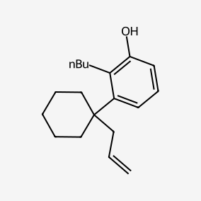 C=CCC1(c2cccc(O)c2CCCC)CCCCC1